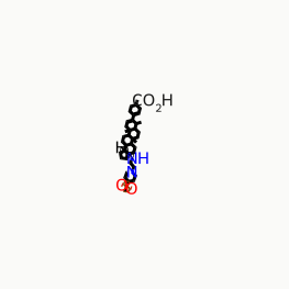 CC1C(C2=CCC(C(=O)O)CC2)=CCC2(C)C1CCC1(C)C3CC[C@@]4(NCCN5CCC(S(C)(=O)=O)CC5)CCC[C@@H]4C3CCC21